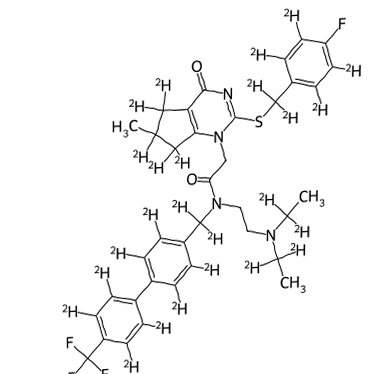 [2H]c1c([2H])c(C([2H])([2H])Sc2nc(=O)c3c(n2CC(=O)N(CCN(C([2H])([2H])C)C([2H])([2H])C)C([2H])([2H])c2c([2H])c([2H])c(-c4c([2H])c([2H])c(C(F)(F)F)c([2H])c4[2H])c([2H])c2[2H])C([2H])([2H])C([2H])(C)C3([2H])[2H])c([2H])c([2H])c1F